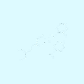 CCC(CC)COC(=O)[C@H](C)N[P@](=O)(O)OOc1ccccc1Oc1ccc([N+](=O)[O-])cc1